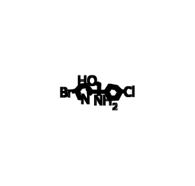 NC(CO)(c1ccc(Cl)cc1)c1ccc(Br)cn1